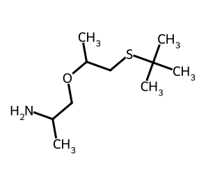 CC(N)COC(C)CSC(C)(C)C